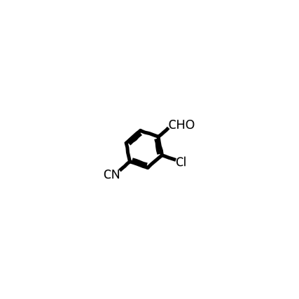 [C-]#[N+]c1ccc(C=O)c(Cl)c1